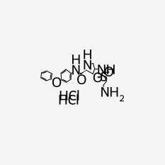 Cl.Cl.NCCS(=O)(=O)NC1CN[C@H](C(=O)Nc2ccc(Oc3ccccc3)cc2)C1